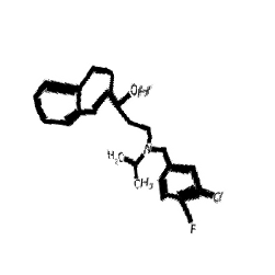 CC(C)N(CCC(O)c1ccc2ccccc2c1)Cc1ccc(F)c(Cl)c1